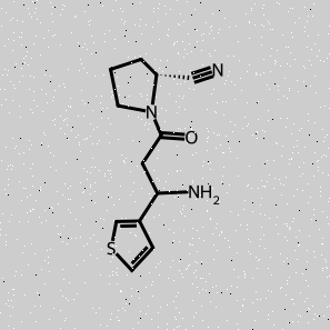 N#C[C@H]1CCCN1C(=O)CC(N)c1ccsc1